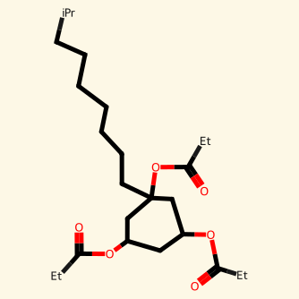 CCC(=O)OC1CC(OC(=O)CC)CC(CCCCCCCC(C)C)(OC(=O)CC)C1